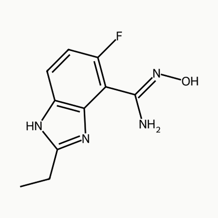 CCc1nc2c(/C(N)=N/O)c(F)ccc2[nH]1